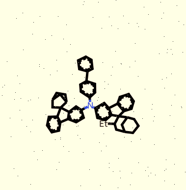 CCC1CC2CCCC(C2)C12c1ccccc1-c1cc(N(c3ccc(-c4ccccc4)cc3)c3ccc4c(c3)C3(CC5CCC3C5)c3ccccc3-4)ccc12